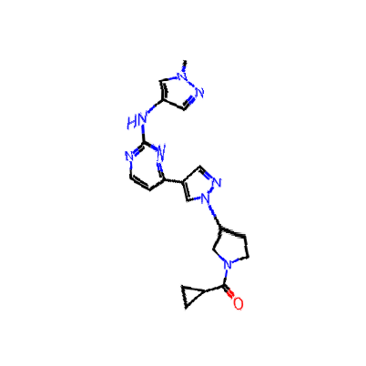 Cn1cc(Nc2nccc(-c3cnn(C4CCN(C(=O)C5CC5)C4)c3)n2)cn1